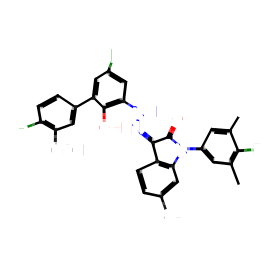 Cc1cc(N2C(=O)C(=NNc3cc(F)cc(-c4ccc(F)c(C(=O)O)c4)c3O)c3ccc(C(F)(F)F)cc32)cc(C)c1F